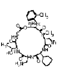 CCCCCC[C@H]1OC(=O)CNC(=O)[C@H]([C@H](C)O)NC(=O)[C@H](CN)NC(=O)[C@H](C2CCCCC2)NC(=O)[C@H](CC(C)C)N(C)C(=O)[C@@H]1Cc1ccccc1C